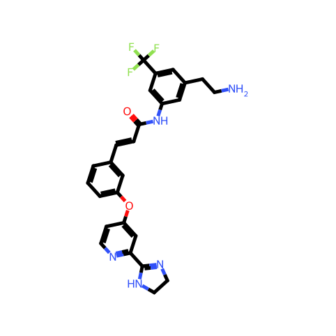 NCCc1cc(NC(=O)C=Cc2cccc(Oc3ccnc(C4=NCCN4)c3)c2)cc(C(F)(F)F)c1